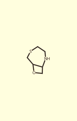 C1CSCC2OCC2N1